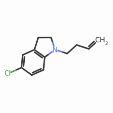 C=CCCN1CCc2cc(Cl)ccc21